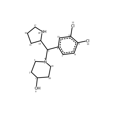 OC1CCN(C(c2ccc(Cl)c(Cl)c2)C2CCCN2)CC1